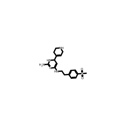 CS(=O)(=O)c1ccc(CCNC2=CC(C3=CCNCC3)NC(N)=N2)cc1